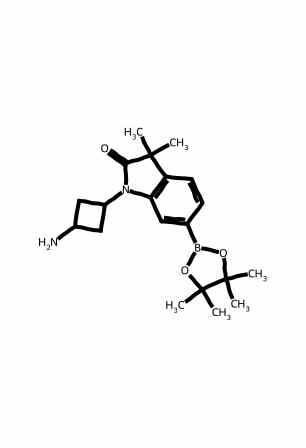 CC1(C)C(=O)N(C2CC(N)C2)c2cc(B3OC(C)(C)C(C)(C)O3)ccc21